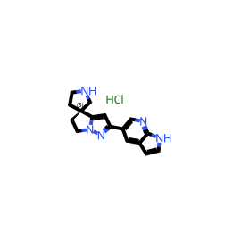 Cl.c1cc2cc(-c3cc4n(n3)CC[C@]43CCNC3)cnc2[nH]1